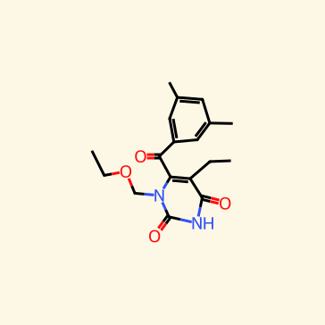 CCOCn1c(C(=O)c2cc(C)cc(C)c2)c(CC)c(=O)[nH]c1=O